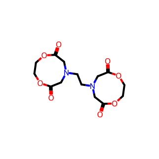 O=C1CN(CCN2CC(=O)OCCOC(=O)C2)CC(=O)OCCO1